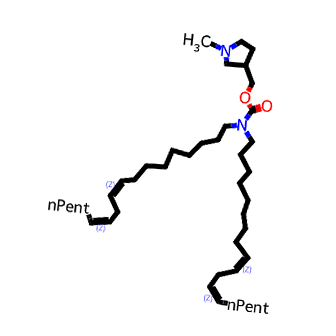 CCCCC/C=C\C/C=C\CCCCCCCCN(CCCCCCCC/C=C\C/C=C\CCCCC)C(=O)OCC1CCN(C)C1